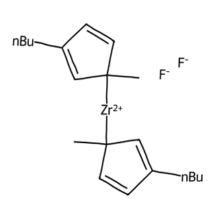 CCCCC1=C[C](C)([Zr+2][C]2(C)C=CC(CCCC)=C2)C=C1.[F-].[F-]